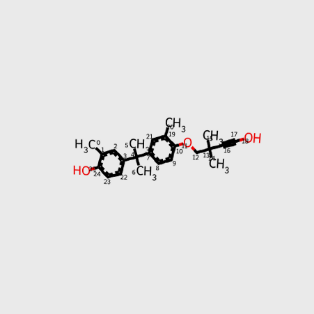 Cc1cc(C(C)(C)c2ccc(OCC(C)(C)C#CO)c(C)c2)ccc1O